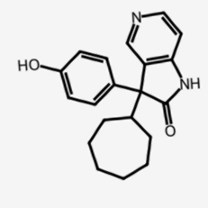 O=C1Nc2ccncc2C1(c1ccc(O)cc1)C1CCCCCC1